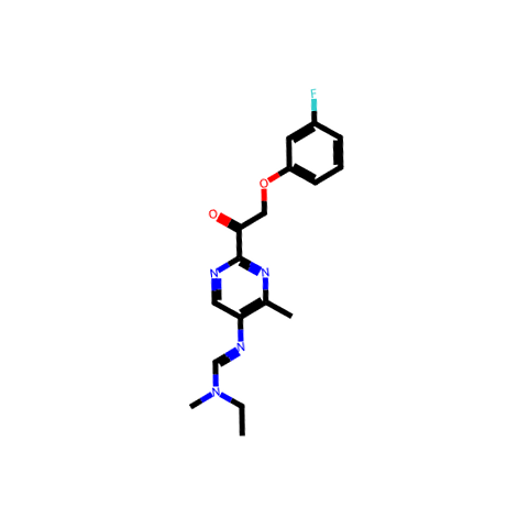 CCN(C)C=Nc1cnc(C(=O)COc2cccc(F)c2)nc1C